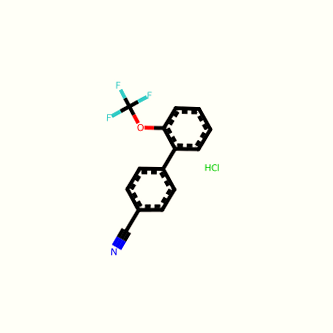 Cl.N#Cc1ccc(-c2ccccc2OC(F)(F)F)cc1